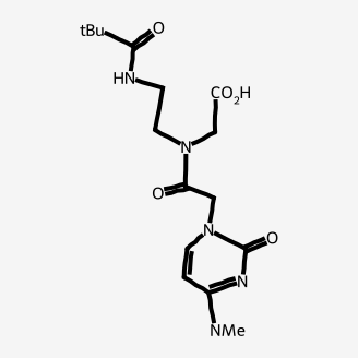 CNc1ccn(CC(=O)N(CCNC(=O)C(C)(C)C)CC(=O)O)c(=O)n1